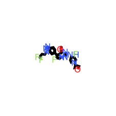 COc1nc(N[C@@H]2CCN(C3COC3)C[C@H]2F)nn2cc(F)c(-c3ccc4nnn(CCC(F)F)c4c3)c12